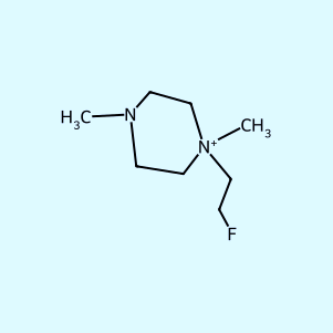 CN1CC[N+](C)(CCF)CC1